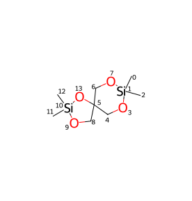 C[Si]1(C)OCC2(CO1)CO[Si](C)(C)O2